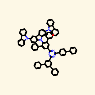 C1=CCC(c2cc(-c3ccccc3)cc(-c3nc(-c4ccc(-c5ccccc5)cc4)nc(-c4cc(-c5ccccc5)c(-n5c6ccc(-n7c8ccccc8c8ccccc87)cc6c6ccc(-n7c8ccccc8c8ccccc87)cc65)c(-c5ccccc5)c4)n3)c2)C=C1